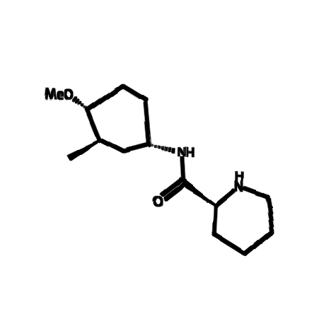 CO[C@@H]1CC[C@H](NC(=O)[C@@H]2CCCCN2)C[C@H]1C